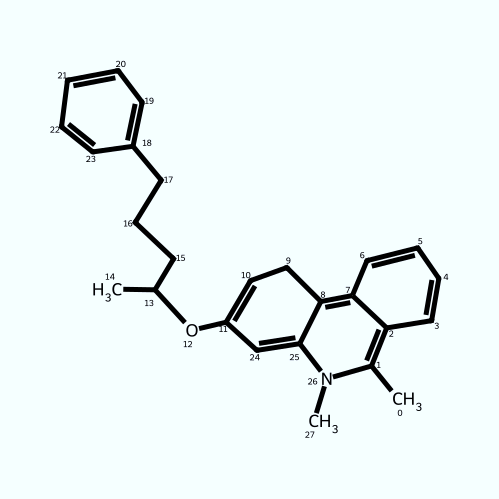 CC1=c2ccccc2=C2CC=C(OC(C)CCCc3ccccc3)C=C2N1C